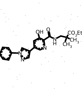 CCOC(=O)C(C)(C)CNC(=O)c1ncc(-c2cnn(-c3ccccc3)c2)cc1O